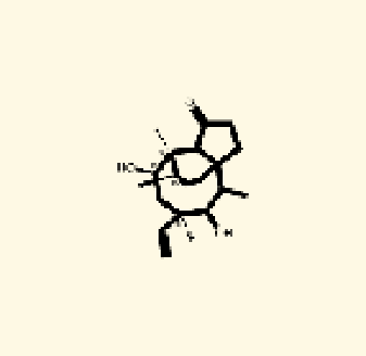 C=C[C@@]1(C)C[C@@H](O)[C@@]2(C)C3C(=O)CCC3(CC[C@H]2C)C(C)C1O